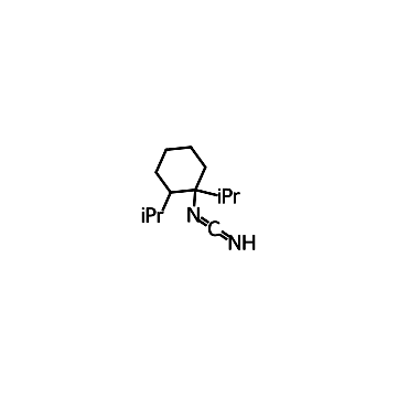 CC(C)C1CCCCC1(N=C=N)C(C)C